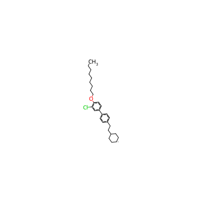 CCCCCCCCCOc1ccc(-c2ccc(CCC3CC[CH]CC3)cc2)cc1Cl